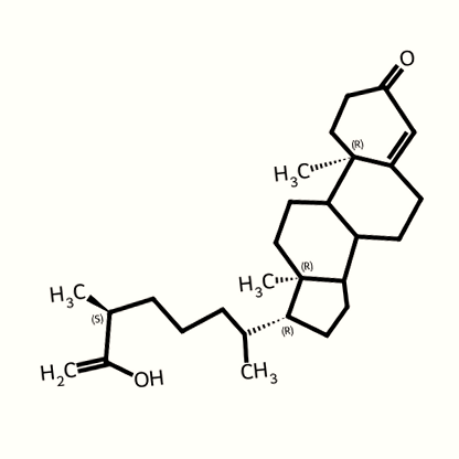 C=C(O)[C@@H](C)CCCC(C)[C@H]1CCC2C3CCC4=CC(=O)CC[C@]4(C)C3CC[C@@]21C